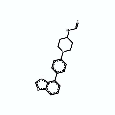 O=CNC1CCN(c2ccc(-c3cccc4ncsc34)cc2)CC1